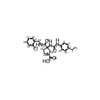 CCc1ccc(NC(=O)NC2(C(=O)NCc3ccccc3Cl)CCN(C(=O)O)C2)cc1